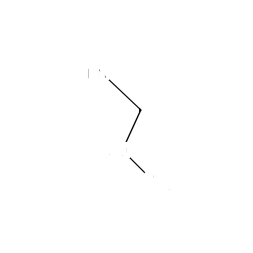 NCOP